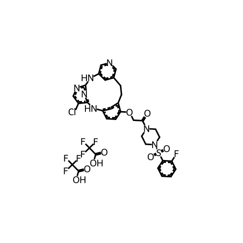 O=C(COc1ccc2cc1CCc1cncc(c1)Nc1ncc(Cl)c(n1)N2)N1CCN(S(=O)(=O)c2ccccc2F)CC1.O=C(O)C(F)(F)F.O=C(O)C(F)(F)F